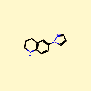 c1cnn(-c2ccc3c(c2)CCCN3)c1